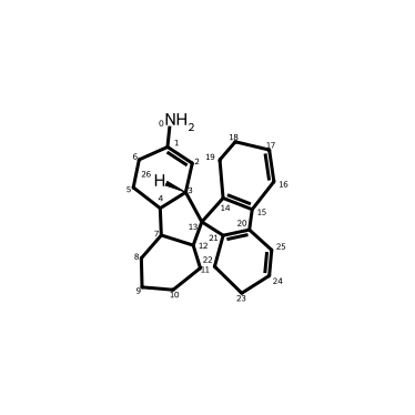 NC1=C[C@H]2C(CC1)C1CCCCC1C21C2=C(C=CCC2)C2=C1CCC=C2